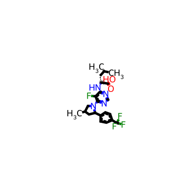 CC(C)C[C@@H](Nc1ncnc(N2CC(C)CC2c2ccc(C(F)(F)F)cc2)c1F)C(=O)O